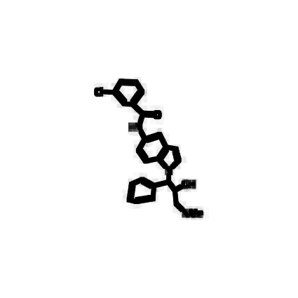 CNCC(O)C(c1ccccc1)n1ccc2cc(NC(=O)c3cccc(Cl)c3)ccc21